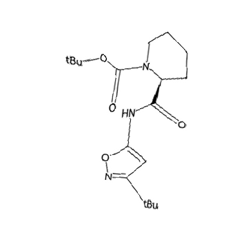 CC(C)(C)OC(=O)N1CCCC[C@H]1C(=O)Nc1cc(C(C)(C)C)no1